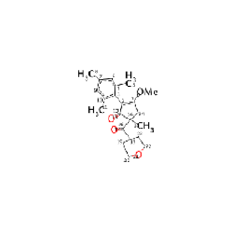 COC1=C(c2c(C)cc(C)cc2C)C(=O)C(C)(C(=O)C2CCOCC2)C1